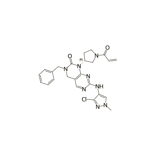 C=CC(=O)N1CC[C@@H](N2C(=O)N(Cc3ccccc3)Cc3cnc(Nc4cn(C)nc4Cl)nc32)C1